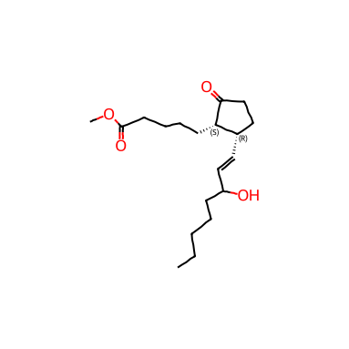 CCCCCC(O)C=C[C@H]1CCC(=O)[C@H]1CCCCC(=O)OC